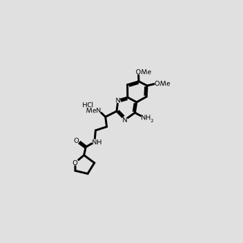 CNC(CCNC(=O)C1CCCO1)c1nc(N)c2cc(OC)c(OC)cc2n1.Cl